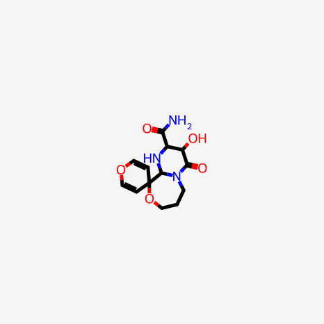 NC(=O)C1NC2N(CCCOC23C=COC=C3)C(=O)C1O